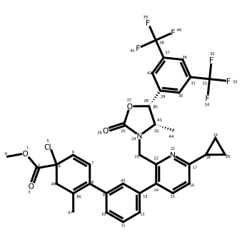 COC(=O)C1(Cl)C=CC(c2cccc(-c3ccc(C4CC4)nc3CN3C(=O)O[C@H](c4cc(C(F)(F)F)cc(C(F)(F)F)c4)[C@@H]3C)c2)=C(C)C1